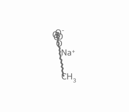 CCCCCCCCCCCCCCCCOCCOS(=O)(=O)[O-].[Na+]